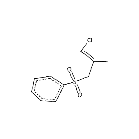 CC(=CCl)CS(=O)(=O)c1ccccc1